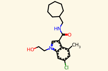 Cc1cc(Cl)cc2c1c(C(=O)NCC1CCCCCC1)cn2CCO